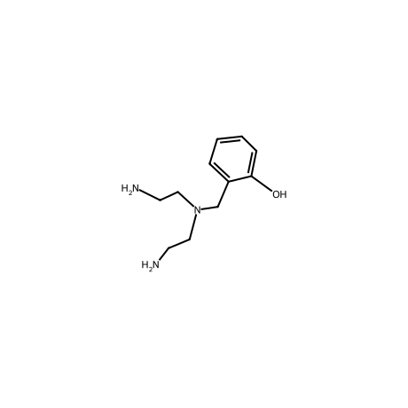 NCCN(CCN)Cc1ccccc1O